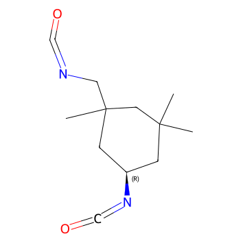 CC1(C)C[C@@H](N=C=O)CC(C)(CN=C=O)C1